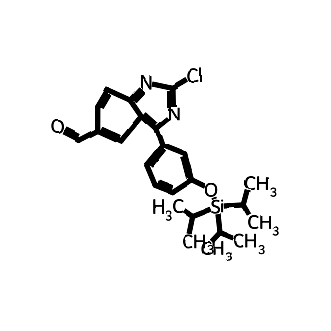 CC(C)[Si](Oc1cccc(-c2nc(Cl)nc3ccc(C=O)cc23)c1)(C(C)C)C(C)C